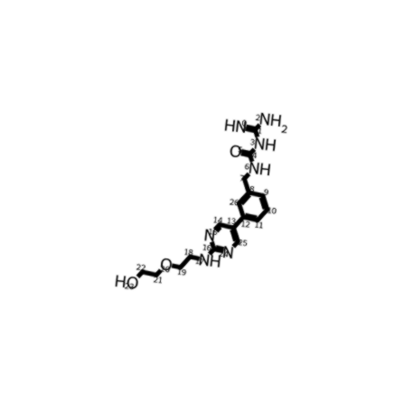 N=C(N)NC(=O)NCc1cccc(-c2cnc(NCCOCCO)nc2)c1